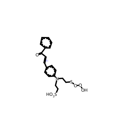 O=C(/C=C/c1ccc(N(CCSOOO)CCS(=O)(=O)O)cc1)c1ccccc1